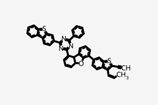 C#Cc1sc2cc(-c3cccc4c3OC3C=CC=C(c5nc(-c6ccccc6)nc(-c6ccc7c(c6)sc6ccccc67)n5)C43)ccc2c1/C=C\C